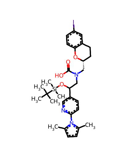 Cc1ccc(C)n1-c1ccc(C(CN(C[C@H]2CCc3cc(I)ccc3O2)C(=O)O)O[Si](C)(C)C(C)(C)C)cn1